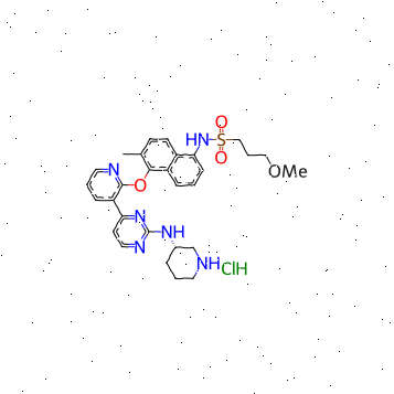 COCCCS(=O)(=O)Nc1cccc2c(Oc3ncccc3-c3ccnc(N[C@H]4CCCNC4)n3)c(C)ccc12.Cl